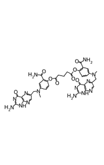 CN(Cc1cnc2[nH]c(N)nc(=O)c2n1)c1ccc(OC(=O)CCCC(=O)Oc2ccc(N(C)Cc3cnc4[nH]c(N)nc(=O)c4n3)cc2C(N)=O)c(C(N)=O)c1